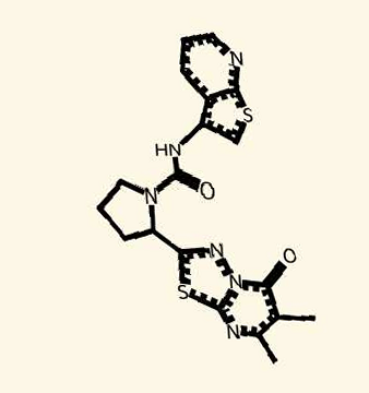 Cc1nc2sc(C3CCCN3C(=O)Nc3csc4ncccc34)nn2c(=O)c1C